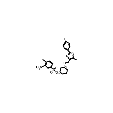 Cc1ccc(S(=O)(=O)O[C@H]2CCC[C@@H](OCc3nc(-c4ccc(F)cc4)oc3C)C2)cc1[N+](=O)[O-]